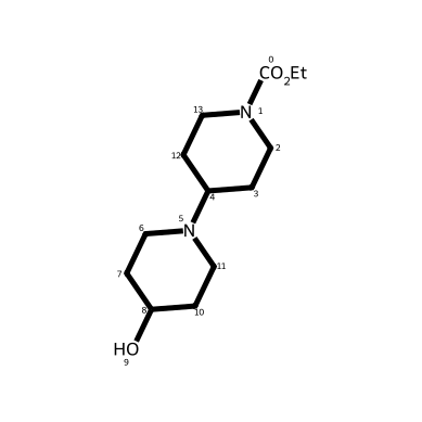 CCOC(=O)N1CCC(N2CCC(O)CC2)CC1